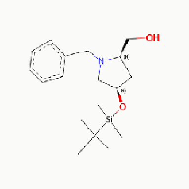 CC(C)(C)[Si](C)(C)O[C@@H]1C[C@H](CO)N(Cc2ccccc2)C1